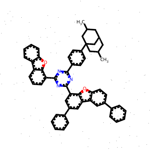 CC1CC2CC(C)CC(c3ccc(-c4nc(-c5cccc6c5oc5ccccc56)nc(-c5cc(-c6ccccc6)cc6c5oc5ccc(-c7ccccc7)cc56)n4)cc3)(C1)C2